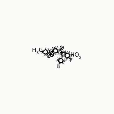 Cc1ccc(S(=O)(=O)Oc2ccc(C(=O)C(=Cc3ccc(F)c([N+](=O)[O-])c3)SCc3ccc(F)cc3)cc2)cc1